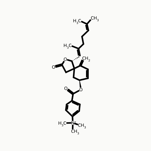 C=C1C=C[C@@H](OC(=O)c2ccc([N+](C)(C)C)cc2)CC12CC(=O)O[C@@H]2/C=C(\C)CCC=C(C)C